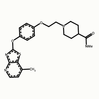 CNC(=O)C1CCN(CCOc2ccc(Oc3nc4nccc(C)c4s3)cc2)CC1